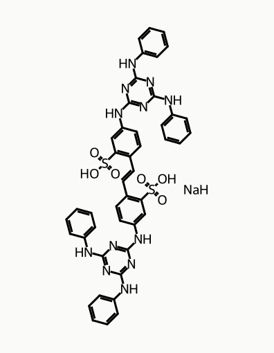 O=S(=O)(O)c1cc(Nc2nc(Nc3ccccc3)nc(Nc3ccccc3)n2)ccc1C=Cc1ccc(Nc2nc(Nc3ccccc3)nc(Nc3ccccc3)n2)cc1S(=O)(=O)O.[NaH]